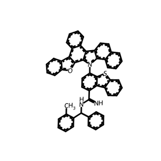 Cc1ccccc1C(NC(=N)c1ccc(-n2c3c4ccccc4ccc3c3c4ccccc4c4c5ccccc5oc4c32)c2sc3ccccc3c12)c1ccccc1